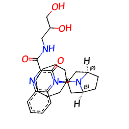 O=C(NCC(O)CO)c1nc2ccccc2n([C@H]2C[C@H]3CC[C@@H](C2)N3C2CCCCCCC2)c1=O